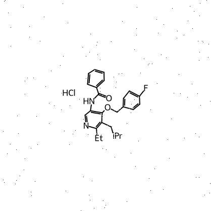 CCc1ncc(NC(=O)c2ccccc2)c(OCc2ccc(F)cc2)c1CC(C)C.Cl